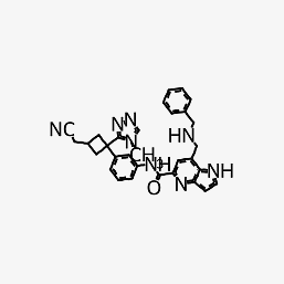 Cn1cnnc1C1(c2cccc(NC(=O)c3cc(CNCc4ccccc4)c4[nH]ccc4n3)c2)CC(CC#N)C1